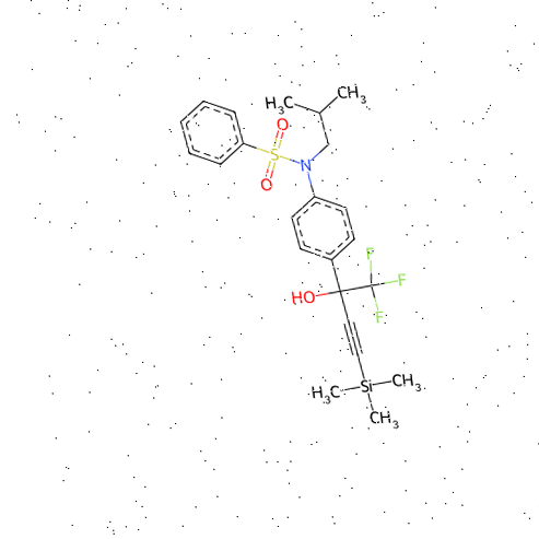 CC(C)CN(c1ccc(C(O)(C#C[Si](C)(C)C)C(F)(F)F)cc1)S(=O)(=O)c1ccccc1